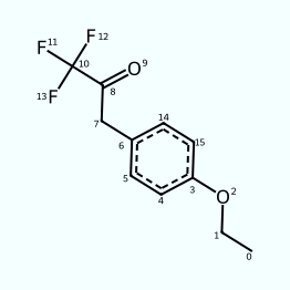 CCOc1ccc(CC(=O)C(F)(F)F)cc1